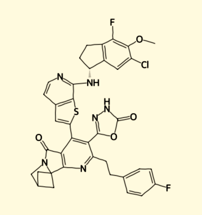 COc1c(Cl)cc2c(c1F)CC[C@H]2Nc1nccc2cc(-c3c4c(nc(CCc5ccc(F)cc5)c3-c3n[nH]c(=O)o3)C35CC(CN3C4=O)C5)sc12